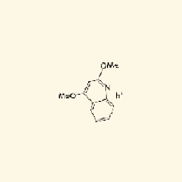 COc1cc(OC)c2ccccc2n1.[H+]